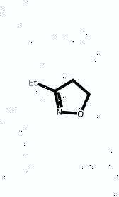 CCC1=NOCC1